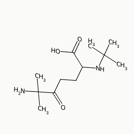 CC(C)(C)NC(CCC(=O)C(C)(C)N)C(=O)O